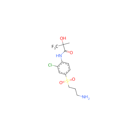 CC(O)(C(=O)Nc1ccc(S(=O)(=O)CCCN)cc1Cl)C(F)(F)F